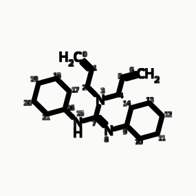 C=CCN(CC=C)C(=NC1CCCCC1)NC1CCCCC1